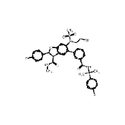 CNC(=O)C1c2cc(-c3cccc(C(=O)NC(C)(C)c4ccc(F)cc4)c3)c(N(CCO)S(C)(=O)=O)cc2OC1c1ccc(F)cc1